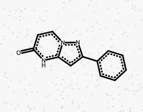 O=c1ccn2nc(-c3ccccc3)cc2[nH]1